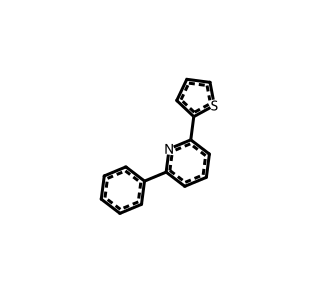 c1ccc(-c2cccc(-c3cccs3)n2)cc1